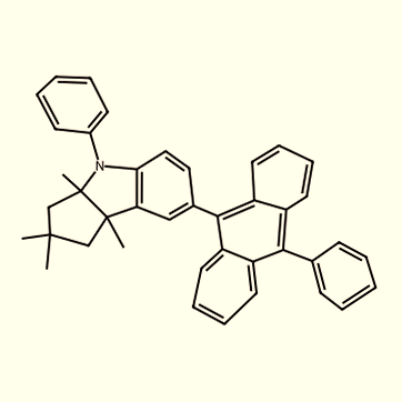 CC1(C)CC2(C)c3cc(-c4c5ccccc5c(-c5ccccc5)c5ccccc45)ccc3N(c3ccccc3)C2(C)C1